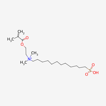 C=C(C)C(=O)OCC[N+](C)(C)CCCCCCCCCCCCS(=O)(=O)O